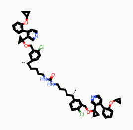 C[C@@H](CCCCNC(=O)NCCCC[C@H](C)c1ccc(Cl)c(COC2(c3cnccc3-c3ccccc3OC3CC3)CC2)c1)c1ccc(Cl)c(COC2(c3cnccc3-c3ccccc3OC3CC3)CC2)c1